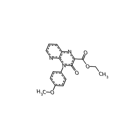 CCOC(=O)c1nc2cccnc2n(-c2ccc(OC)cc2)c1=O